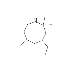 CCC1CC(C)CCNC(C)(C)C1